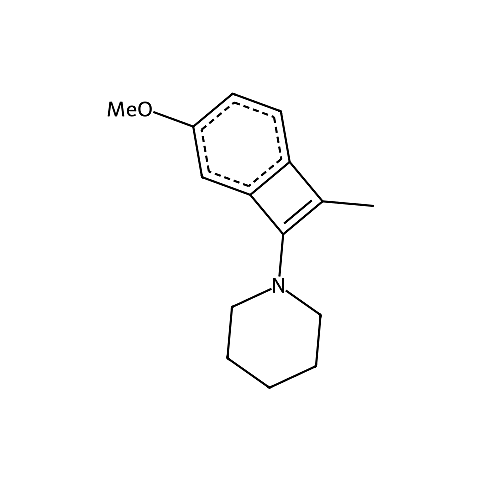 COc1ccc2c(c1)C(N1CCCCC1)=C2C